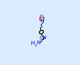 NCc1cnc(-c2ccc(CCCCN3CCOCC3)cc2)s1